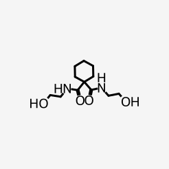 O=C(NCCO)C1(C(=O)NCCO)CCCCC1